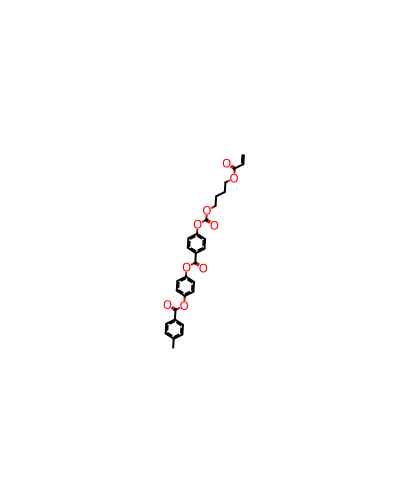 C=CC(=O)OCCCCOC(=O)Oc1ccc(C(=O)Oc2ccc(OC(=O)c3ccc(C)cc3)cc2)cc1